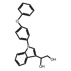 OCC(O)c1cn(-c2ccc(Oc3ccccc3)cc2)c2ccccc12